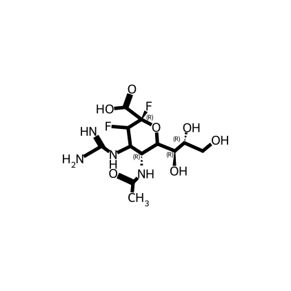 CC(=O)N[C@@H]1C(NC(=N)N)C(F)[C@](F)(C(=O)O)OC1[C@H](O)[C@H](O)CO